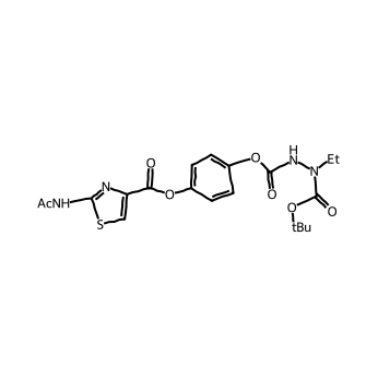 CCN(NC(=O)Oc1ccc(OC(=O)c2csc(NC(C)=O)n2)cc1)C(=O)OC(C)(C)C